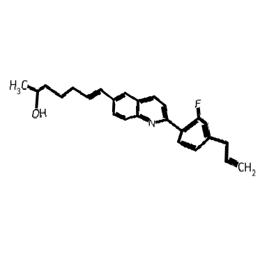 C=CCc1ccc(-c2ccc3cc(/C=C/CCCC(C)O)ccc3n2)c(F)c1